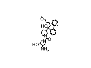 COCCCC[C@@](O)(c1ccccc1-c1ccccn1)[C@@H]1CCCN(C(=O)N2C[C@@H](N)[C@@H](O)C2)C1